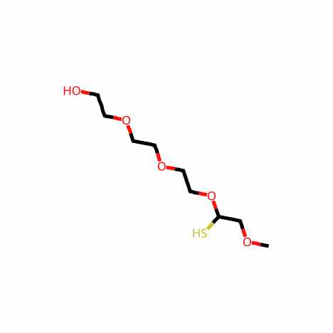 COCC(S)OCCOCCOCCO